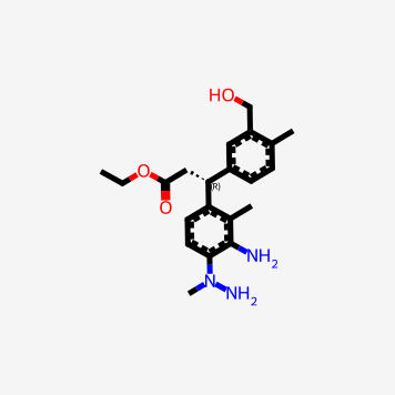 CCOC(=O)C[C@H](c1ccc(C)c(CO)c1)c1ccc(N(C)N)c(N)c1C